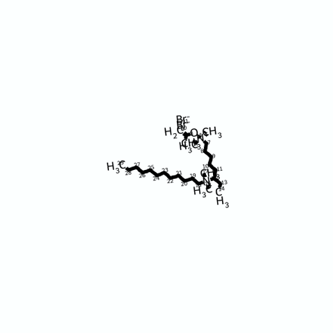 C=C(C)O[N+](C)(C)CCCCCC(CC)[N+](C)(C)CCCCCCCCCCCC.[Br-].[Br-]